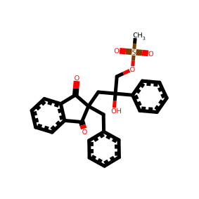 CS(=O)(=O)OCC(O)(CC1(Cc2ccccc2)C(=O)c2ccccc2C1=O)c1ccccc1